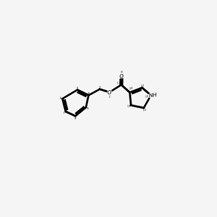 O=C(OCc1ccccc1)C1=CNCC1